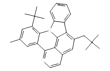 Cc1cc(C(C)(C)C)c2c(c1)c1nccc3cc(CC(C)(C)C)c4c5ccccc5n2c4c31